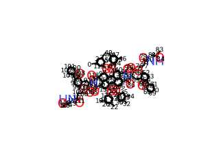 Cc1cc(C)cc(Oc2cc3c4c(cc(Oc5cc(C)cc(C)c5)c5c6c(Oc7ccc(C)c(C)c7)cc7c8c(cc(Oc9cc(C)cc(C)c9)c(c2c45)c86)C(=O)N(C(Cc2cccc4c2oc2ccccc24)C(=O)OCCC(=O)NCC2CO2)C7=O)C(=O)N(C(Cc2cccc4c2oc2ccccc24)C(=O)OCCC(=O)NCC2CO2)C3=O)c1